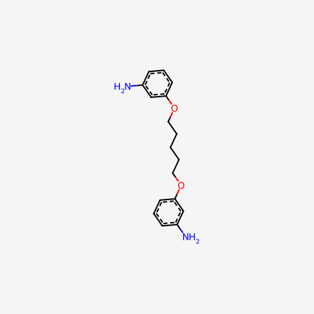 Nc1cccc(OCCCCCOc2cccc(N)c2)c1